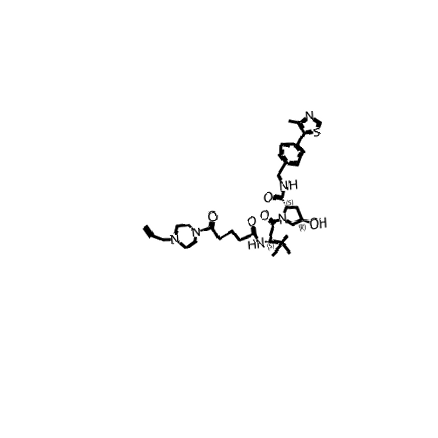 C#CCN1CCN(C(=O)CCCC(=O)N[C@H](C(=O)N2C[C@H](O)C[C@H]2C(=O)NCc2ccc(-c3scnc3C)cc2)C(C)(C)C)CC1